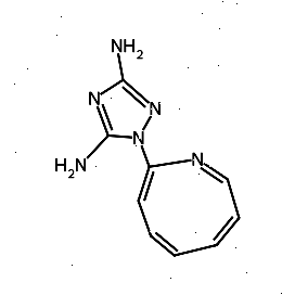 Nc1nc(N)n(C2=CC=CC=CC=N2)n1